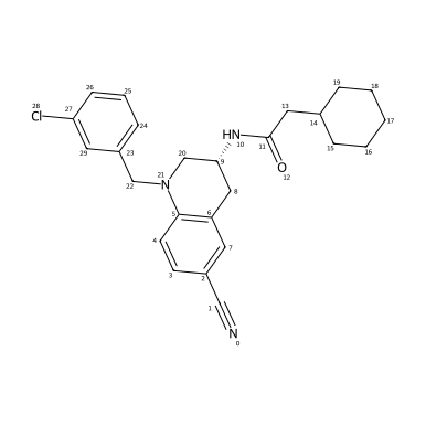 N#Cc1ccc2c(c1)C[C@@H](NC(=O)CC1CCCCC1)CN2Cc1cccc(Cl)c1